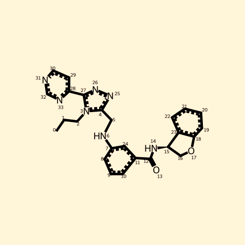 CCCn1c(CNc2cccc(C(=O)N[C@@H]3COc4ccccc43)c2)nnc1-c1ccncn1